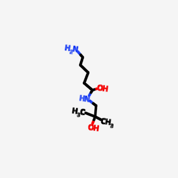 CC(C)(O)CNC(O)CCCCN